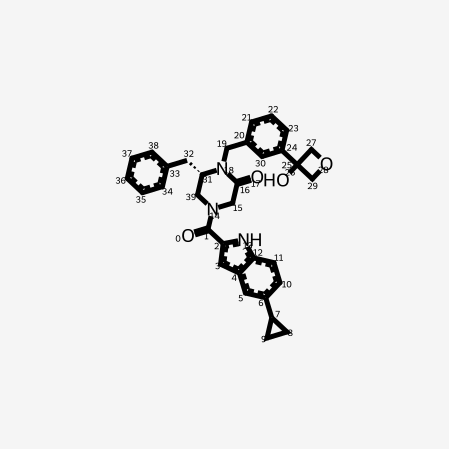 O=C(c1cc2cc(C3CC3)ccc2[nH]1)N1CC(=O)N(Cc2cccc(C3(O)COC3)c2)[C@@H](Cc2ccccc2)C1